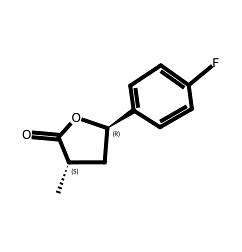 C[C@H]1C[C@H](c2ccc(F)cc2)OC1=O